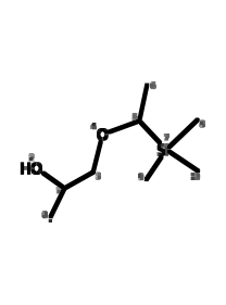 [CH2]C(O)COC(C)[Si](C)(C)C